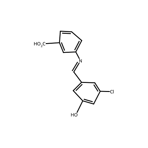 O=C(O)c1cccc(N=Cc2cc(O)cc(Cl)c2)c1